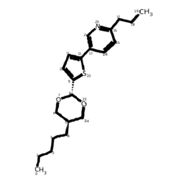 CCCCC[C@H]1CO[C@H](c2ccc(-c3ccc(CCC)nc3)s2)OC1